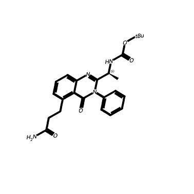 C[C@H](NC(=O)OC(C)(C)C)c1nc2cccc(CCC(N)=O)c2c(=O)n1-c1ccccc1